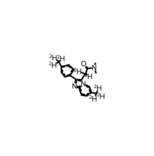 [2H]C([2H])([2H])c1ccc(-c2nc3ccc(C([2H])([2H])[2H])cn3c2C([2H])([2H])C(=O)N(C)C)cc1